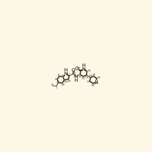 CCc1ccc2[nH]c(C(=O)Nc3cc(-c4ccncc4)c[nH]c3=O)cc2c1